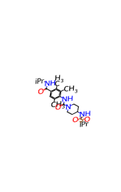 Cc1cc(C(=O)NC(C)C)c(C)c(C)c1NC(=O)N1CCC(NS(=O)(=O)C(C)C)CC1